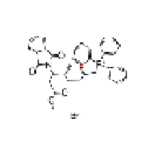 COC(=O)CC(c1ccc(C[P+](c2ccccc2)(c2ccccc2)c2ccccc2)cc1)N1C(=O)c2ccccc2C1=O.[Br-]